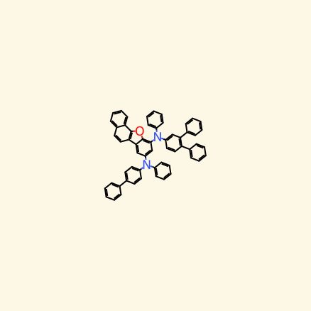 c1ccc(-c2ccc(N(c3ccccc3)c3cc(N(c4ccccc4)c4ccc(-c5ccccc5)c(-c5ccccc5)c4)c4oc5c6ccccc6ccc5c4c3)cc2)cc1